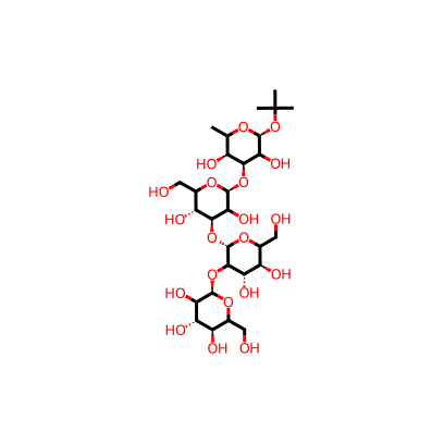 CC1O[C@@H](OC(C)(C)C)C(O)[C@@H](O[C@@H]2OC(CO)[C@@H](O)[C@H](O[C@@H]3OC(CO)[C@@H](O)[C@H](O)C3O[C@H]3OC(CO)[C@@H](O)[C@H](O)C3O)C2O)[C@H]1O